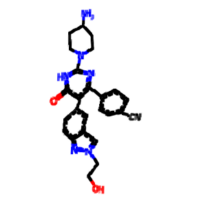 N#Cc1ccc(-c2nc(N3CCC(N)CC3)[nH]c(=O)c2-c2ccc3nn(CCO)cc3c2)cc1